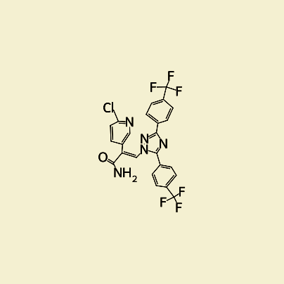 NC(=O)/C(=C/n1nc(-c2ccc(C(F)(F)F)cc2)nc1-c1ccc(C(F)(F)F)cc1)c1ccc(Cl)nc1